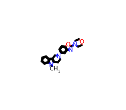 Cn1c2c(c3ccccc31)CN(c1ccc3oc(N4CCOCC4)nc3c1)CC2